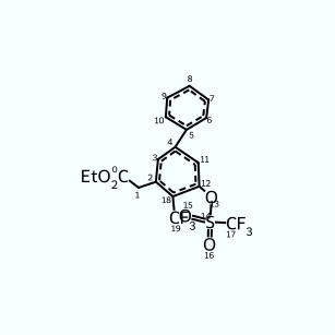 CCOC(=O)Cc1cc(-c2ccccc2)cc(OS(=O)(=O)C(F)(F)F)c1C(F)(F)F